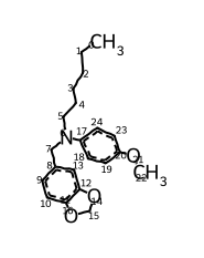 CCCCCCN(Cc1ccc2c(c1)OCO2)c1ccc(OC)cc1